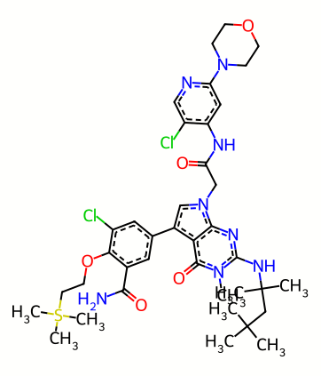 Cn1c(NC(C)(C)CC(C)(C)C)nc2c(c(-c3cc(Cl)c(OCCS(C)(C)C)c(C(N)=O)c3)cn2CC(=O)Nc2cc(N3CCOCC3)ncc2Cl)c1=O